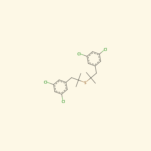 CC(C)(Cc1cc(Cl)cc(Cl)c1)SC(C)(C)Cc1cc(Cl)cc(Cl)c1